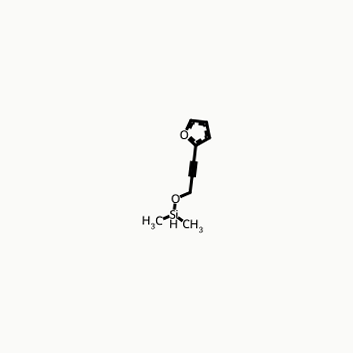 C[SiH](C)OCC#Cc1ccco1